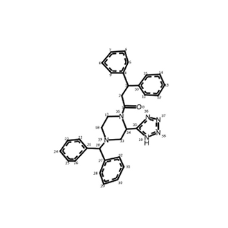 O=C(CC(c1ccccc1)c1ccccc1)N1CCN(C(c2ccccc2)c2ccccc2)CC1c1nnn[nH]1